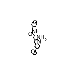 C[C@H](Cc1cc2cc(-c3ccco3)ccc2nc1N)C(=O)NCC1CCOCC1